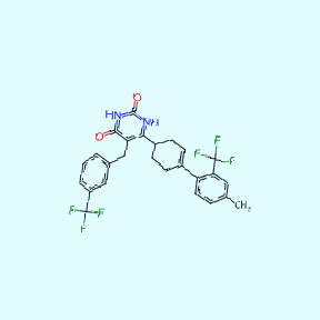 Cc1ccc(C2=CCC(c3[nH]c(=O)[nH]c(=O)c3Cc3cccc(C(F)(F)F)c3)CC2)c(C(F)(F)F)c1